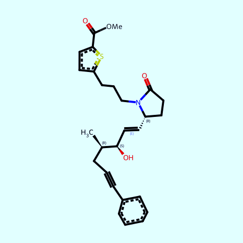 COC(=O)c1ccc(CCCN2C(=O)CC[C@@H]2/C=C/[C@@H](O)[C@H](C)CC#Cc2ccccc2)s1